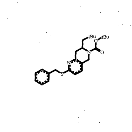 CC(C)(C)CC1Cc2nc(SCc3ccccc3)ccc2CN1C(=O)OC(C)(C)C